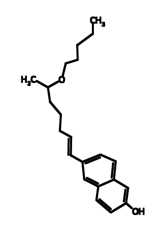 CCCCCOC(C)CCC/C=C/c1ccc2cc(O)ccc2c1